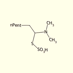 CCCCCCC(SS(=O)(=O)O)N(C)C